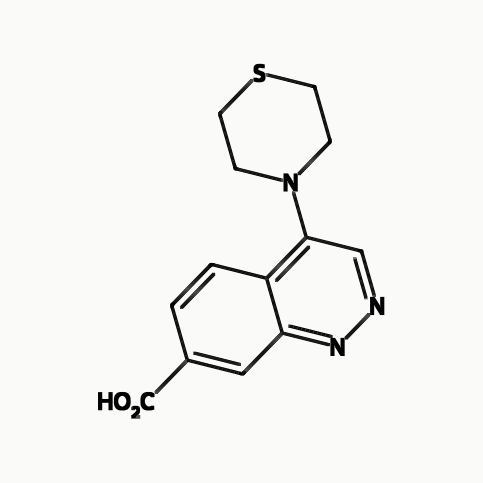 O=C(O)c1ccc2c(N3CCSCC3)cnnc2c1